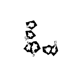 c1cc2sccc2s1.c1cc[se]c1.c1ccc2[nH]ccc2c1.c1ccsc1